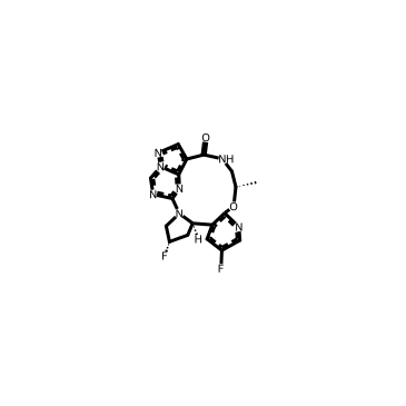 C[C@H]1CNC(=O)c2cnn3cnc(nc23)N2C[C@@H](F)C[C@@H]2c2cc(F)cnc2O1